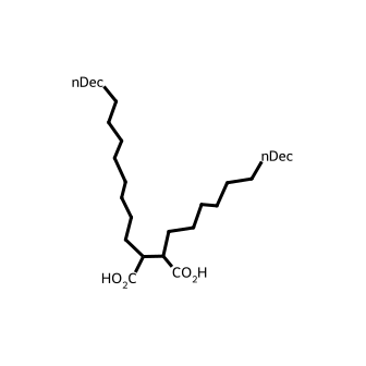 CCCCCCCCCCCCCCCCCCC(C(=O)O)C(CCCCCCCCCCCCCCCC)C(=O)O